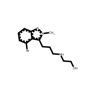 Cn1nc2cccc(Br)c2c1CCCNCCO